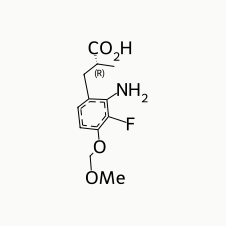 COCOc1ccc(C[C@@H](C)C(=O)O)c(N)c1F